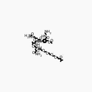 CC(=O)OCc1ccc(NC(=O)[C@H](CCCNC(N)=O)NC(=O)[C@@H](NC(=O)[C@H](CCC(N)=O)NC(=O)CCOCCOCCOCCOCCC(=O)C(C)C)C(C)C)cc1C(=O)NCCN